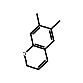 Cc1cc2c(cc1C)OCC=C2